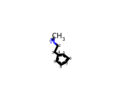 C[N]CCc1ccccc1